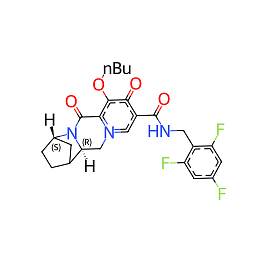 CCCCOc1c2n(cc(C(=O)NCc3c(F)cc(F)cc3F)c1=O)C[C@H]1C3CC[C@@H](C3)N1C2=O